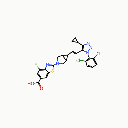 O=C(O)c1cc(F)c2nc(N3CC4C(/C=C/c5c(C6CC6)nnn5-c5c(Cl)cccc5Cl)C4C3)sc2c1